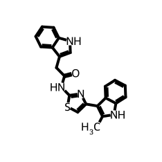 Cc1[nH]c2ccccc2c1-c1csc(NC(=O)Cc2c[nH]c3ccccc23)n1